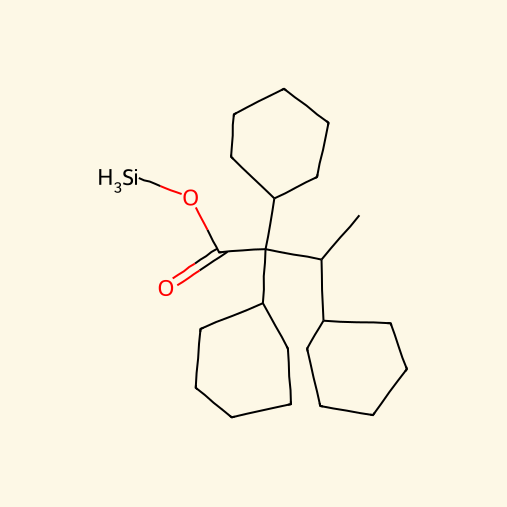 CC(C1CCCCC1)C(C(=O)O[SiH3])(C1CCCCC1)C1CCCCC1